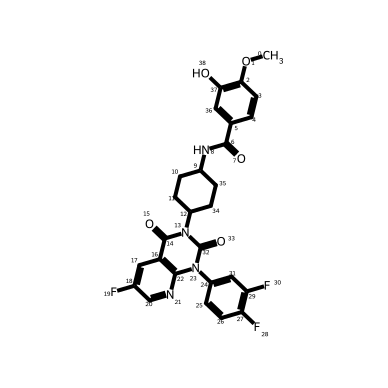 COc1ccc(C(=O)NC2CCC(n3c(=O)c4cc(F)cnc4n(-c4ccc(F)c(F)c4)c3=O)CC2)cc1O